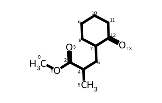 COC(=O)C(C)CC1CCCCC1=O